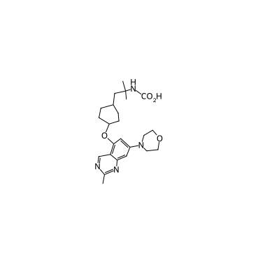 Cc1ncc2c(OC3CCC(CC(C)(C)NC(=O)O)CC3)cc(N3CCOCC3)cc2n1